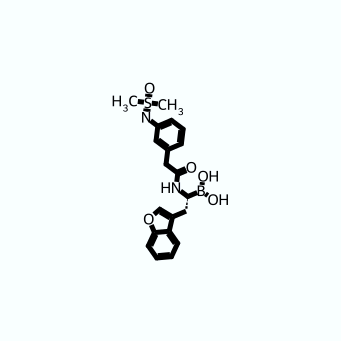 CS(C)(=O)=Nc1cccc(CC(=O)N[C@@H](Cc2coc3ccccc23)B(O)O)c1